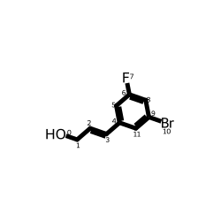 OC/C=C/c1cc(F)cc(Br)c1